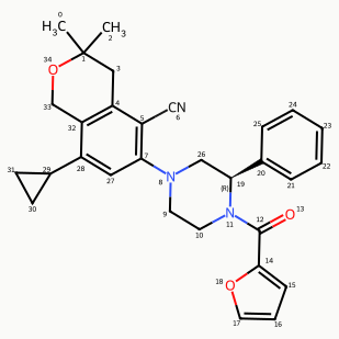 CC1(C)Cc2c(C#N)c(N3CCN(C(=O)c4ccco4)[C@H](c4ccccc4)C3)cc(C3CC3)c2CO1